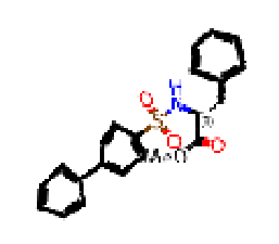 COC(=O)[C@@H](Cc1ccccc1)NS(=O)(=O)c1ccc(-c2ccccc2)cc1